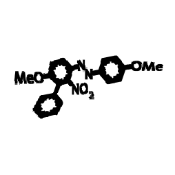 COc1ccc(N=Nc2ccc(OC)c(-c3ccccc3)c2[N+](=O)[O-])cc1